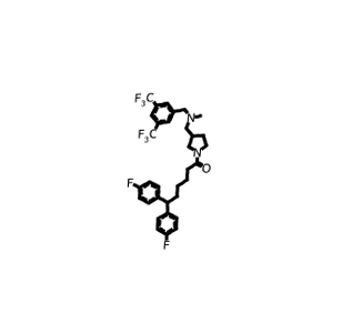 CN(Cc1cc(C(F)(F)F)cc(C(F)(F)F)c1)CC1CCN(C(=O)CCCCC(c2ccc(F)cc2)c2ccc(F)cc2)C1